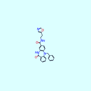 O=C(NCCc1cnco1)c1ccc2c(c1)NC(=O)c1ccccc1N2Cc1ccccc1